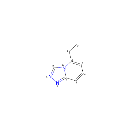 CCc1cccc2nncn12